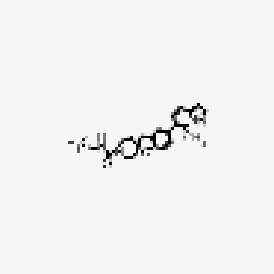 CCNC(=O)N1CCC2(CC1)Cc1cc(-c3ccc4ccnn4c3C)ccc1O2